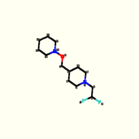 FC(F)CN1CCC(CON2CCCCC2)CC1